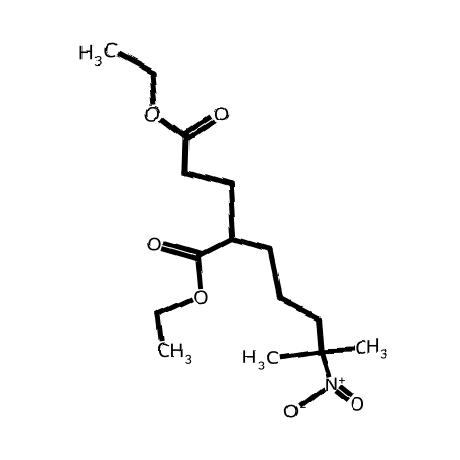 CCOC(=O)CCC(CCCC(C)(C)[N+](=O)[O-])C(=O)OCC